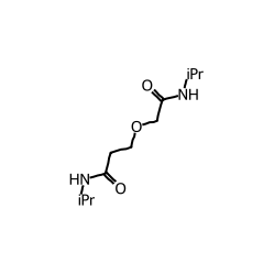 CC(C)NC(=O)CCOCC(=O)NC(C)C